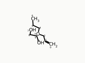 C=CCOCCC.OCCO